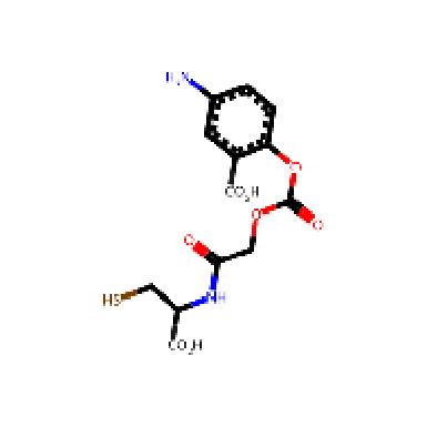 Nc1ccc(OC(=O)OCC(=O)NC(CS)C(=O)O)c(C(=O)O)c1